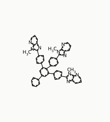 Cn1c(-c2ccc(-c3cc(-c4ccccc4)cc(-c4ccc(-c5nc6cccnc6n5C)cc4)c3-c3ccc(-c4nc5cccnc5n4C)cc3)cc2)nc2cccnc21